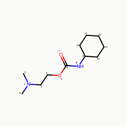 CN(C)CCOC(=O)NC1CCCCC1